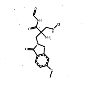 COc1ccc2c(c1)CN(CC(N)(CNCl)C(=O)NC=O)C2=O